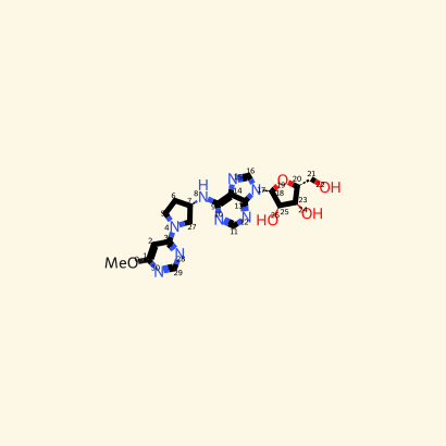 COc1cc(N2CC[C@H](Nc3ncnc4c3ncn4[C@@H]3O[C@H](CO)[C@H](O)[C@@H]3O)C2)ncn1